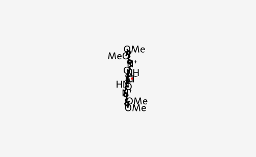 COc1ccc(C=Cc2cc[n+](CCCC(=O)NCCSSCCNC(=O)CCC[n+]3ccc(C=Cc4ccc(OC)cc4OC)cc3)cc2)c(OC)c1.[Cl-].[Cl-]